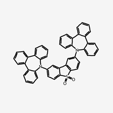 O=S1(=O)c2ccc(N3c4ccccc4-c4ccccc4-c4ccccc43)cc2-c2cc(N3c4ccccc4-c4ccccc4-c4ccccc43)ccc21